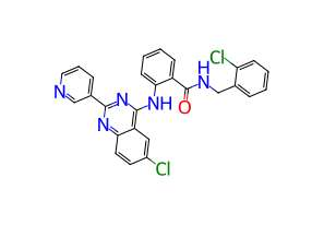 O=C(NCc1ccccc1Cl)c1ccccc1Nc1nc(-c2cccnc2)nc2ccc(Cl)cc12